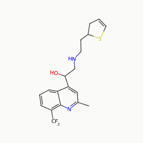 Cc1cc(C(O)CNCCC2CC=CS2)c2cccc(C(F)(F)F)c2n1